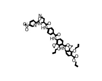 C=CCOC(=O)c1ccc(NC(=O)c2ccc(NC(=O)c3ccc(NC(=O)C(CC#N)NC(=O)c4ccc([N+](=O)[O-])cn4)cc3)c(OC)c2OCC=C)c(OC)c1OCC=C